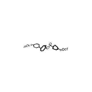 CCCCCCCCc1ccc(C(=O)Oc2ccc(C3CCC(CCCCCCCC)CC3)cc2)cc1